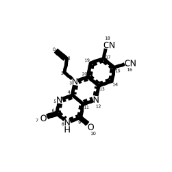 C=CCn1c2nc(=O)[nH]c(=O)c-2nc2cc(C#N)c(C#N)cc21